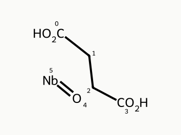 O=C(O)CCC(=O)O.[O]=[Nb]